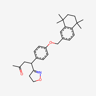 CC(=O)CC(C1=NOCC1)c1ccc(OCc2ccc3c(c2)C(C)(C)CCC3(C)C)cc1